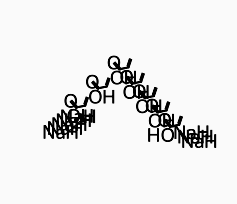 C=CC(=O)O.C=CC(=O)O.C=CC(=O)O.C=CC(=O)O.C=CC(=O)O.C=CC(=O)O.C=CC(=O)O.[NaH].[NaH].[NaH].[NaH].[NaH].[NaH].[NaH].[NaH]